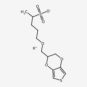 CC(CCCOCC1COc2cscc2O1)S(=O)(=O)[O-].[K+]